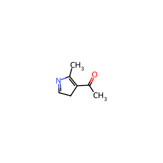 CC(=O)C1=C(C)N=CC1